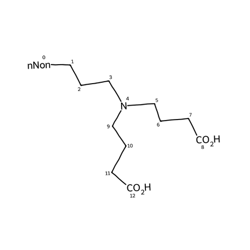 CCCCCCCCCCCCN(CCCC(=O)O)CCCC(=O)O